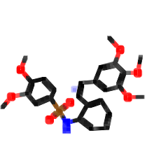 COc1ccc(S(=O)(=O)Nc2ccccc2/C=C\c2cc(OC)c(OC)c(OC)c2)cc1OC